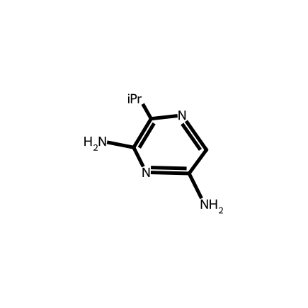 CC(C)c1ncc(N)nc1N